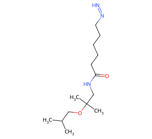 CC(C)COC(C)(C)CNC(=O)CCCCCN=N